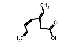 C=C/C=C\C(=C/C)CC(=O)O